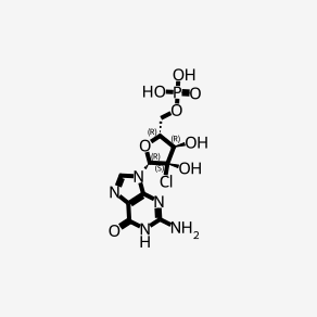 Nc1nc2c(ncn2[C@@H]2O[C@H](COP(=O)(O)O)[C@@H](O)[C@]2(O)Cl)c(=O)[nH]1